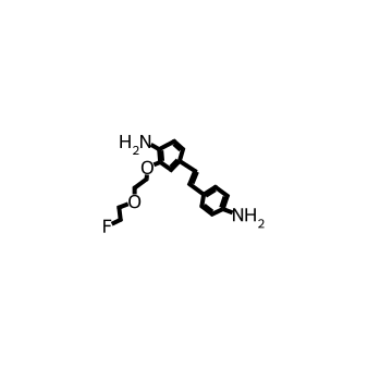 Nc1ccc(C=Cc2ccc(N)c(OCCOCCF)c2)cc1